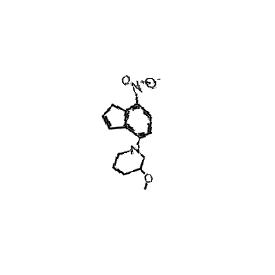 COC1CCCN(c2ccc([N+](=O)[O-])c3c2C=CC3)C1